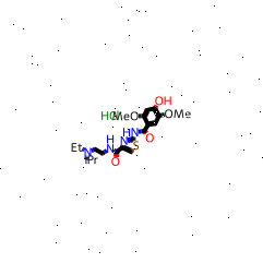 CCN(CCNC(=O)c1csc(NC(=O)c2cc(OC)c(O)cc2OC)n1)C(C)C.Cl